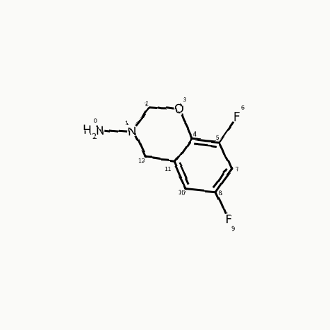 NN1COc2c(F)cc(F)cc2C1